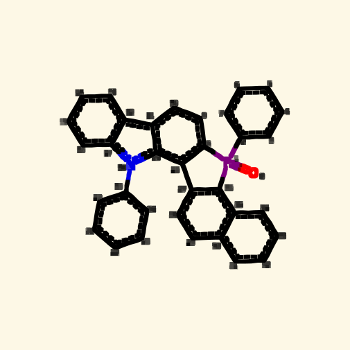 O=P1(c2ccccc2)c2ccc3c4ccccc4n(-c4ccccc4)c3c2-c2ccc3ccccc3c21